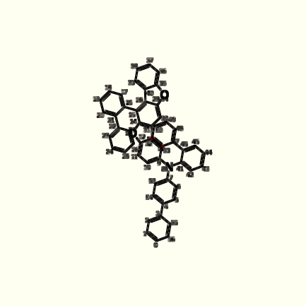 c1ccc(-c2ccc(N(c3ccc4oc5c(-c6ccccc6-c6ccccc6)c6c(cc5c4c3)oc3ccccc36)c3ccccc3-c3ccccc3)cc2)cc1